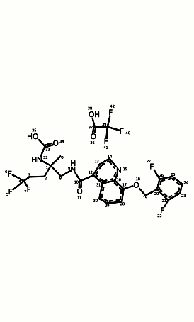 CC(CCC(F)(F)F)(CNC(=O)c1ccnc2c(OCc3c(F)cccc3F)cccc12)NC(=O)O.O=C(O)C(F)(F)F